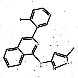 Cc1cc(Nc2nc(-c3ccccc3I)cc3ccccc23)n[nH]1